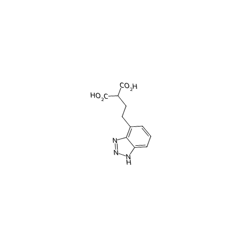 O=C(O)C(CCc1cccc2[nH]nnc12)C(=O)O